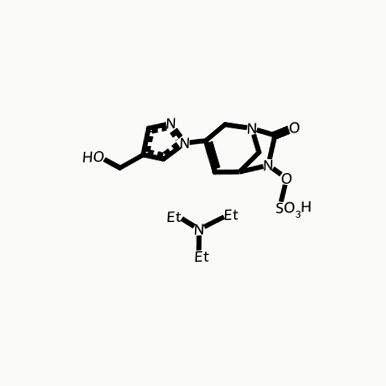 CCN(CC)CC.O=C1N2CC(n3cc(CO)cn3)=CC(C2)N1OS(=O)(=O)O